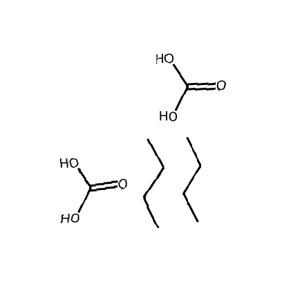 CCCC.CCCC.O=C(O)O.O=C(O)O